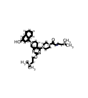 CN(C)C/C=C/C(=O)N1CCN(c2nc(OCCN(C)C)nc3c2CCN(c2cc(O)cc4ccccc24)C3)CC1